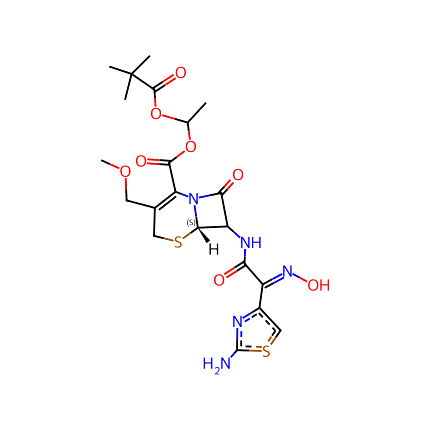 COCC1=C(C(=O)OC(C)OC(=O)C(C)(C)C)N2C(=O)C(NC(=O)C(=NO)c3csc(N)n3)[C@@H]2SC1